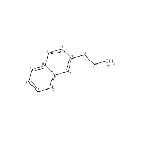 CCCc1c[c]c2ccccc2c1